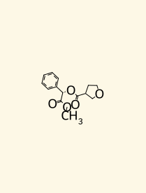 COC(=O)[C@@H](OC(=O)C1CCOC1)c1ccccc1